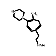 CNCCC1=CCC(C)=C(N2CCNCC2)C=C1